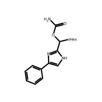 CCCCCCC(OC(N)=O)c1nc(-c2ccccc2)c[nH]1